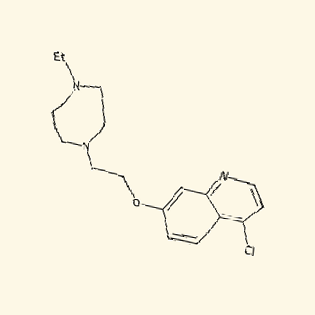 CCN1CCN(CCOc2ccc3c(Cl)ccnc3c2)CC1